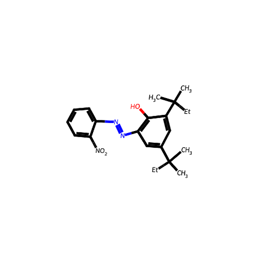 CCC(C)(C)c1cc(/N=N/c2ccccc2[N+](=O)[O-])c(O)c(C(C)(C)CC)c1